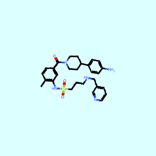 Cc1ccc(C(=O)N2CCC(c3ccc(N)cc3)CC2)cc1NS(=O)(=O)CCCNCc1cccnc1